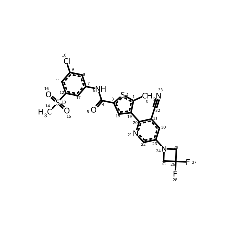 Cc1sc(C(=O)Nc2cc(Cl)cc(S(C)(=O)=O)c2)cc1-c1ncc(N2CC(F)(F)C2)cc1C#N